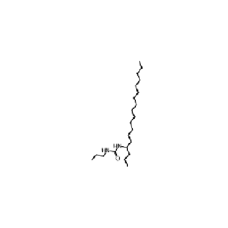 CCCCCCCCCCCCCCC(CCC)NC(=O)NCCC